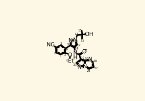 CCOc1ccc(C#N)cc1-c1nn(CC(C)(C)O)cc1NC(=O)c1cnn2cccnc12